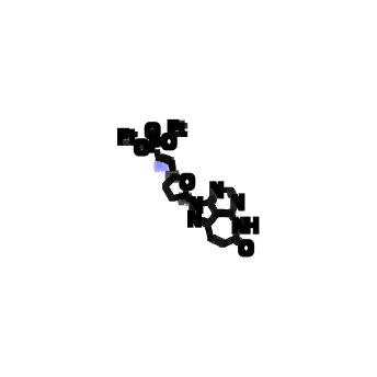 CCOP(=O)(/C=C/[C@@H]1CC[C@H](n2nc3c4c(ncnc42)NC(=O)C=C3)O1)OCC